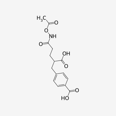 CC(=O)ONC(=O)CCC(Cc1ccc(C(=O)O)cc1)C(=O)O